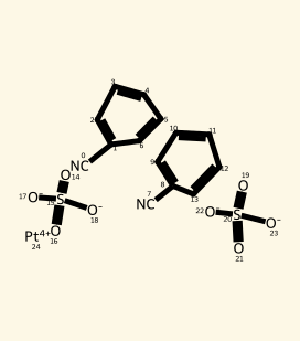 N#Cc1ccccc1.N#Cc1ccccc1.O=S(=O)([O-])[O-].O=S(=O)([O-])[O-].[Pt+4]